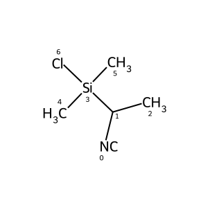 [C-]#[N+]C(C)[Si](C)(C)Cl